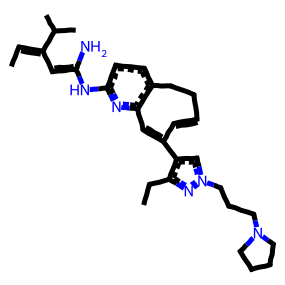 C/C=C(\C=C(/N)Nc1ccc2c(n1)/C=C(c1cn(CCCN3CCCC3)nc1CC)\C=C\CC2)C(C)C